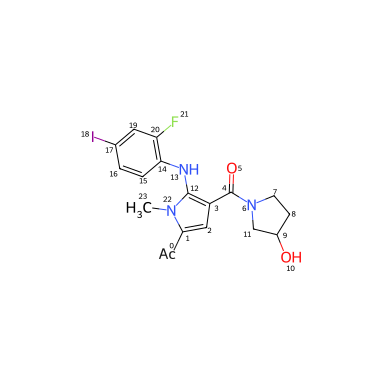 CC(=O)c1cc(C(=O)N2CCC(O)C2)c(Nc2ccc(I)cc2F)n1C